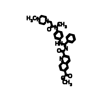 COC(=O)c1ccc2nc(C(=O)N=C(Nc3ccc(N(C)C(=O)CN4CCN(C)CC4)cc3)c3ccccc3)ccc2c1